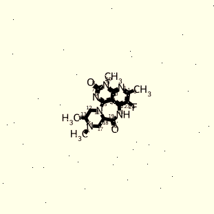 Cc1nc2c3c(nc(=O)n2C)N2CC(C)N(C)CC2C(=O)Nc3c1F